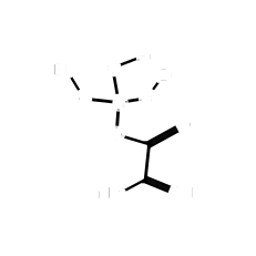 C=C(CCC)C(=O)O[Si](OCC)(OCC)OCC